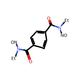 CCN(N=O)C(=O)c1ccc(C(=O)N(CC)N=O)cc1